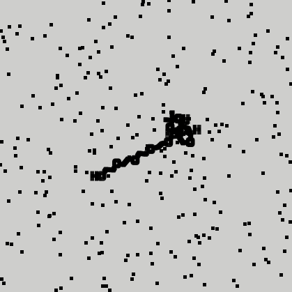 CC1(C)O[C@@H]2[C@@H](C[C@H]3OC[C@]2(COCCOCCOCCOCCO)O3)O1